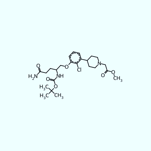 COC(=O)CN1CCC(c2cccc(OCC(CCC(N)=O)NC(=O)OC(C)(C)C)c2Cl)CC1